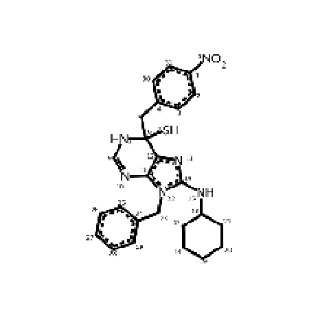 O=[N+]([O-])c1ccc(CC2(S)NC=Nc3c2nc(NC2CCCCC2)n3Cc2ccccc2)cc1